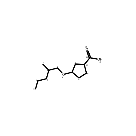 CCCC(C)COC1CCC(C(=O)O)C1